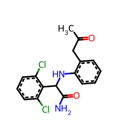 CC(=O)Cc1ccccc1NC(C(N)=O)c1c(Cl)cccc1Cl